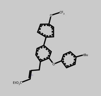 CCOC(=O)/C=C/Cc1ccc(-c2ccc(OC(F)(F)F)cc2)cc1Oc1ccc(C(C)(C)C)cc1